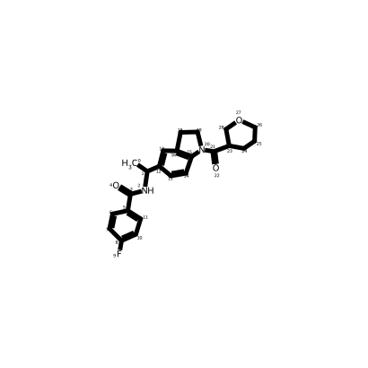 CC(NC(=O)c1ccc(F)cc1)c1ccc2c(c1)CCN2C(=O)C1CCCOC1